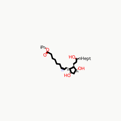 CCCCCCC[C@H](O)CC[C@@H]1[C@@H](C/C=C\CCCCCC(=O)OC(C)C)[C@@H](O)C[C@H]1O